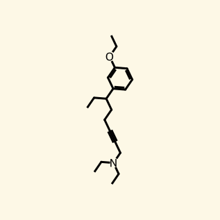 CCOc1cccc(C(CC)CCC#CCN(CC)CC)c1